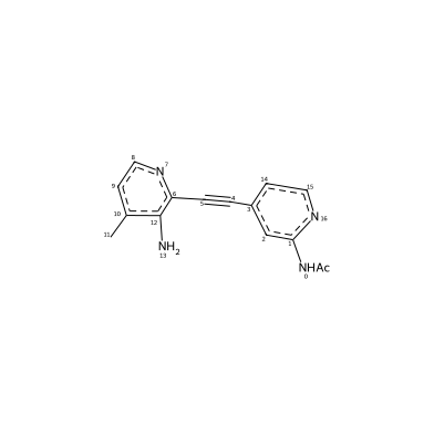 CC(=O)Nc1cc(C#Cc2nccc(C)c2N)ccn1